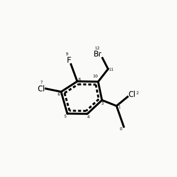 CC(Cl)c1ccc(Cl)c(F)c1CBr